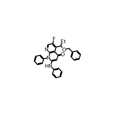 CCC(OCc1ccccc1)c1c(F)cnc2c1c(=O)cc(Nc1ccccc1)n2-c1ccccc1